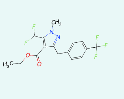 CCOC(=O)c1c(Cc2ccc(C(F)(F)F)cc2)nn(C)c1C(F)F